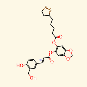 O=C(/C=C/c1ccc(O)c(CO)c1)Oc1cc2c(cc1OC(=O)CCCCC1CCSS1)OCO2